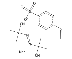 C=Cc1ccc(S(=O)(=O)[O-])cc1.CC(C)(C#N)N=NC(C)(C)C#N.[Na+]